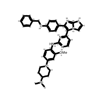 COc1cc(N2CCC(N(C)C)CC2)ccc1Nc1nccc(-c2c(-c3ccc(OCc4ccccc4)cc3)nc3sccn23)n1